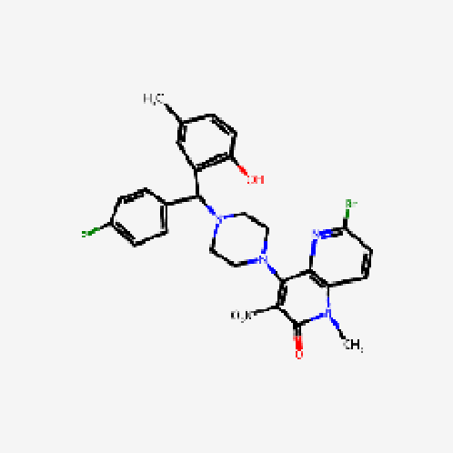 Cc1ccc(O)c(C(c2ccc(F)cc2)N2CCN(c3c([N+](=O)[O-])c(=O)n(C)c4ccc(Br)nc34)CC2)c1